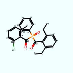 CCc1cccc(CC)c1C(=O)P(=O)(C(=O)c1c(C)cccc1Cl)c1ccccc1